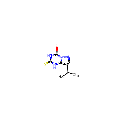 CC(C)c1cnn2c(=O)[nH]c(=S)[nH]c12